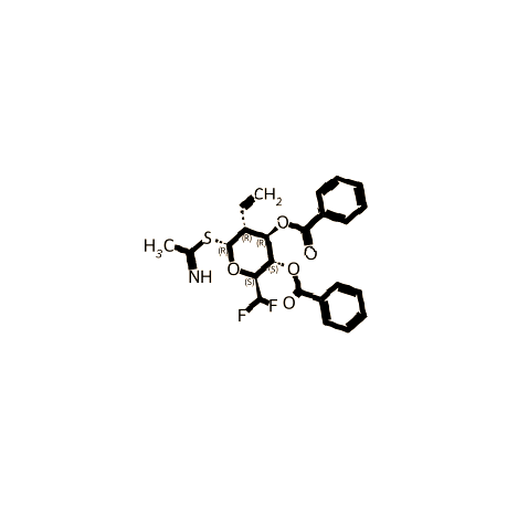 C=C[C@@H]1[C@@H](OC(=O)c2ccccc2)[C@H](OC(=O)c2ccccc2)[C@@H](C(F)F)O[C@@H]1SC(C)=N